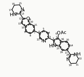 CC(=O)Oc1c(-c2ccc(-c3ccc4cc(C5=NCCCN5)oc4c3)cn2)[nH]c2cc(C3=NCCCN3)ccc12